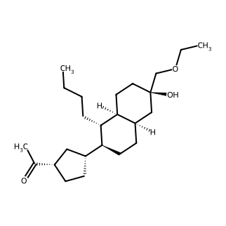 CCCC[C@H]1[C@H]([C@@H]2CC[C@H](C(C)=O)C2)CC[C@@H]2C[C@@](O)(COCC)CC[C@@H]21